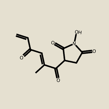 C=CC(=O)C=C(C)C(=O)C1CC(=O)N(O)C1=O